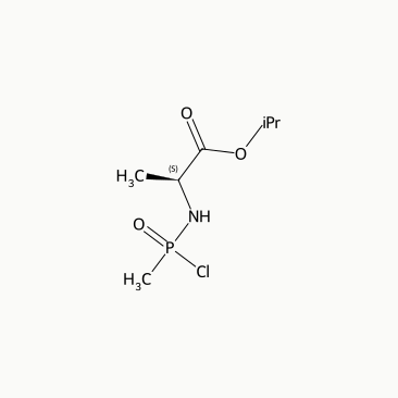 CC(C)OC(=O)[C@H](C)NP(C)(=O)Cl